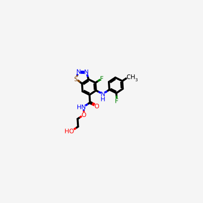 Cc1ccc(Nc2c(C(=O)NOCCO)cc3snnc3c2F)c(F)c1